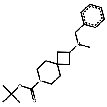 CN(Cc1ccccc1)C1CC2(CCN(C(=O)OC(C)(C)C)CC2)C1